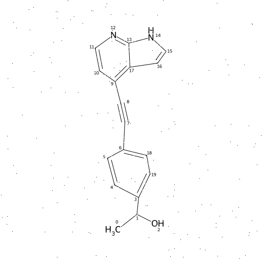 CC(O)c1ccc(C#Cc2ccnc3[nH]ccc23)cc1